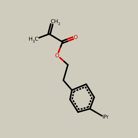 C=C(C)C(=O)OCCc1ccc(C(C)C)cc1